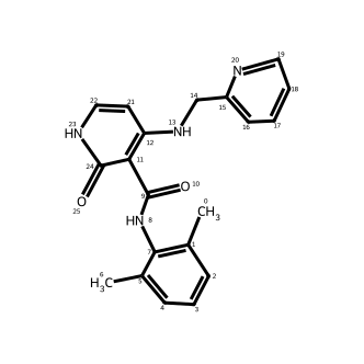 Cc1cccc(C)c1NC(=O)c1c(NCc2ccccn2)cc[nH]c1=O